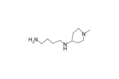 CN1CCC(NCCCCN)CC1